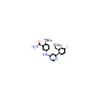 COCc1cc(F)ccc1-c1cc(Nc2ccc(OC)c(C(N)=O)c2)ncn1